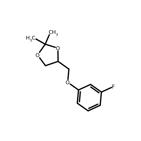 CC1(C)OCC(COc2cccc(F)c2)O1